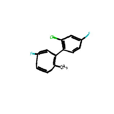 Cc1[c]cc(F)cc1-c1ccc(F)cc1Cl